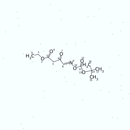 CCOC(=O)CC(=O)C=NOC(=O)OC(C)(C)C